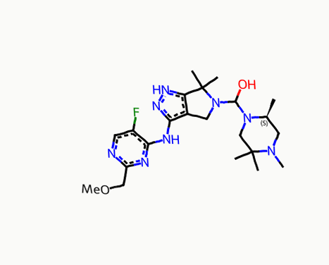 COCc1ncc(F)c(Nc2n[nH]c3c2CN(C(O)N2CC(C)(C)N(C)C[C@@H]2C)C3(C)C)n1